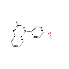 COc1ccc(-c2cc(C)cc3ccccc23)cc1